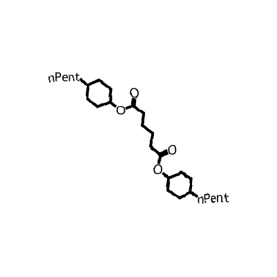 CCCCCC1CCC(OC(=O)CCCCC(=O)OC2CCC(CCCCC)CC2)CC1